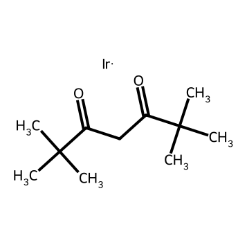 CC(C)(C)C(=O)CC(=O)C(C)(C)C.[Ir]